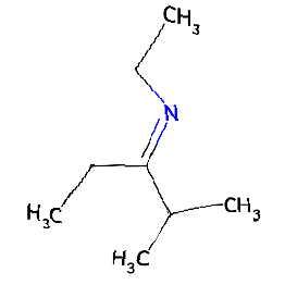 CC/N=C(\CC)C(C)C